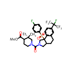 CC[C@]1(C)CN(C(=O)N2CC3CCc4cc(C(F)(C(F)(F)F)C(F)(F)F)ccc4C3(S(=O)(=O)c3ccc(F)cc3)C2)CCC1C(=O)OC